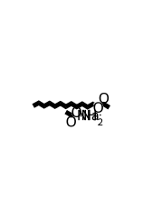 CC(=O)ON.CCCCCCCCCCCCOC(C)=O.[Na]